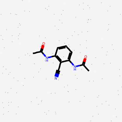 CC(=O)Nc1cccc(NC(C)=O)c1C#N